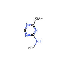 CCCNc1ncnc(SC)n1